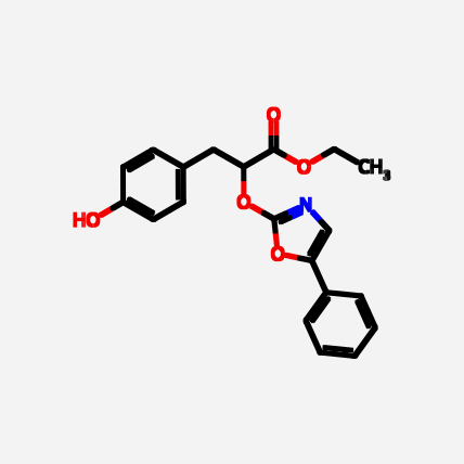 CCOC(=O)C(Cc1ccc(O)cc1)Oc1ncc(-c2ccccc2)o1